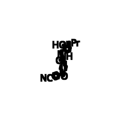 CCCc1cccc(/C=N\NC(=O)CN2CCN(C(=O)c3ccc(C#N)cc3)CC2)c1O